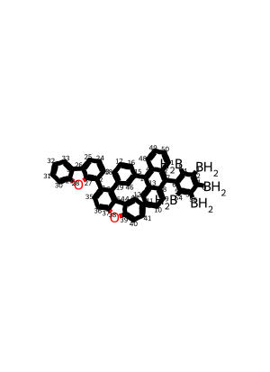 Bc1c(B)c(B)c(-c2c3ccccc3c(-c3cccc(-c4c(-c5cccc6c5oc5ccccc56)ccc5oc6ccccc6c45)c3)c3ccccc23)c(B)c1B